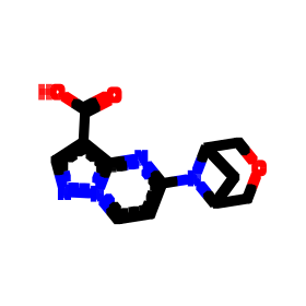 O=C(O)c1cnn2ccc(N3C4COCC3C4)nc12